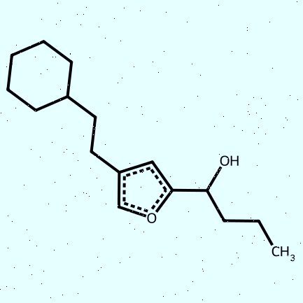 CCCC(O)c1cc(CCC2CCCCC2)co1